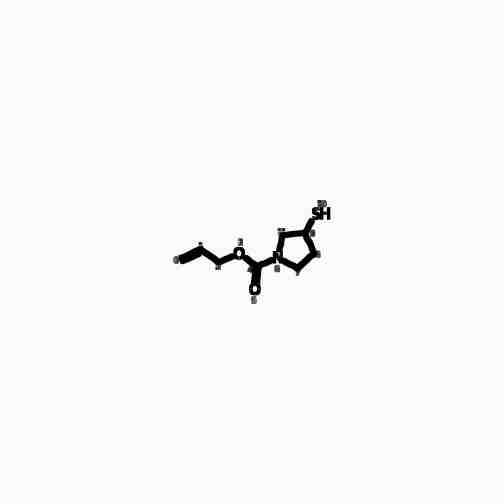 C=CCOC(=O)N1CCC(S)C1